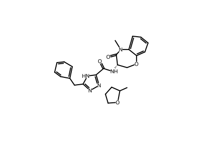 CC1CCCO1.CN1C(=O)[C@@H](NC(=O)c2nnc(Cc3ccccc3)[nH]2)COc2ccccc21